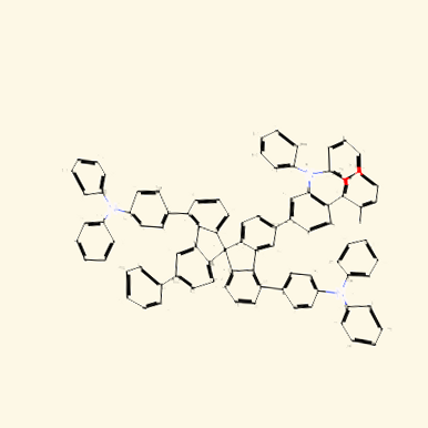 Cc1ccccc1-c1ccc(-c2ccc3c(c2)-c2c(-c4ccc(N(c5ccccc5)c5ccccc5)cc4)cccc2C32c3ccc(-c4ccccc4)cc3-c3c(-c4ccc(N(c5ccccc5)c5ccccc5)cc4)cccc32)cc1N(c1ccccc1)c1ccccc1